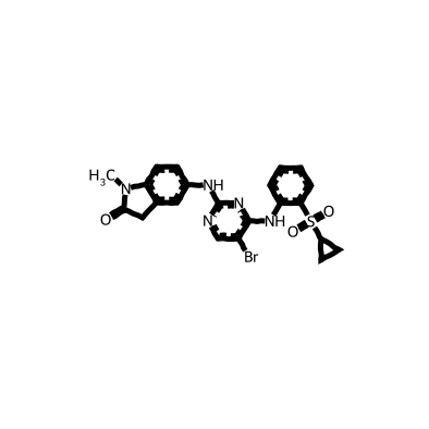 CN1C(=O)Cc2cc(Nc3ncc(Br)c(Nc4ccccc4S(=O)(=O)C4CC4)n3)ccc21